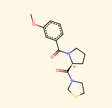 COc1cccc(C(=O)N2CCC[C@H]2C(=O)N2CCSC2)c1